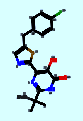 CNC(C)(C)c1nc(-c2ncc(Cc3ccc(F)cc3)s2)c(O)c(=O)[nH]1